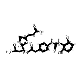 CC(C)CC(NC(=O)Cc1ccc(NC(=O)Nc2c(Cl)cccc2Cl)cc1)c1ncc(CCC(=O)O)s1